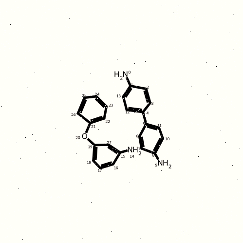 Nc1ccc(-c2ccc(N)cc2)cc1.Nc1cccc(Oc2ccccc2)c1